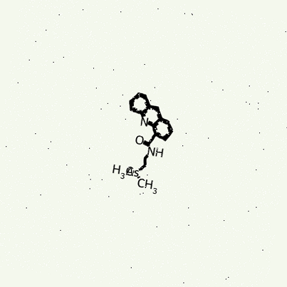 C[As](C)CCNC(=O)c1cccc2cc3ccccc3nc12